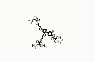 C=C(C)C(=O)OCCCOc1ccc(-c2ccc(OC(=O)C(=C)C)c(F)c2)c(OCCCOC(=O)C(=C)C)c1